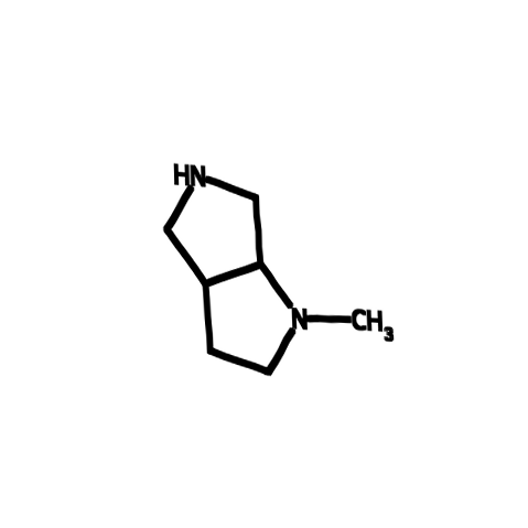 CN1CCC2CNCC21